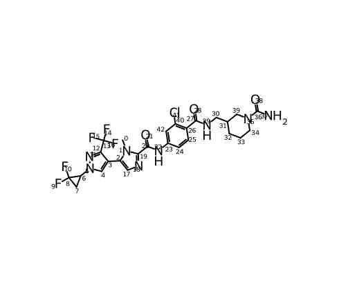 Cn1c(-c2cn(C3CC3(F)F)nc2C(F)(F)F)cnc1C(=O)Nc1ccc(C(=O)NCC2CCCN(C(N)=O)C2)c(Cl)c1